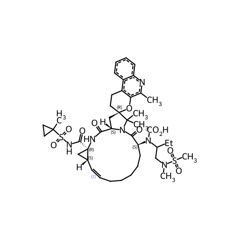 CCC(CN(C)S(C)(=O)=O)N(C(=O)O)[C@H]1CCCCC/C=C\[C@@H]2C[C@@]2(C(=O)NS(=O)(=O)C2(C)CC2)NC(=O)[C@@H]2C[C@]3(CCc4c(c(C)nc5ccccc45)O3)C(C)(C)N2C1=O